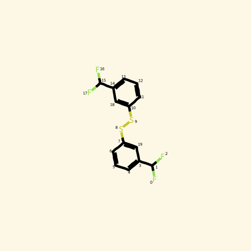 FC(F)c1cccc(SSc2cccc(C(F)F)c2)c1